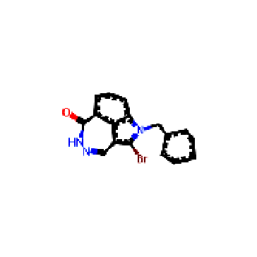 O=C1NN=Cc2c(Br)n(Cc3ccccc3)c3cccc1c23